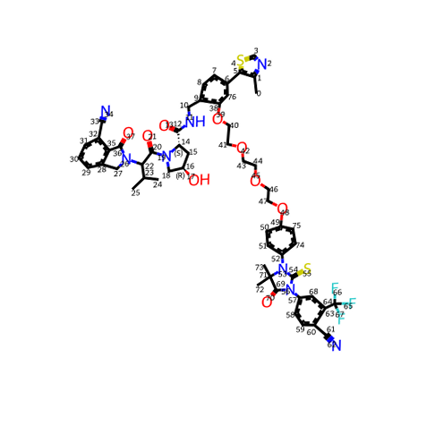 Cc1ncsc1-c1ccc(CNC(=O)[C@@H]2C[C@@H](O)CN2C(=O)C(C(C)C)N2Cc3cccc(C#N)c3C2=O)c(OCCOCCOCCOc2ccc(N3C(=S)N(c4ccc(C#N)c(C(F)(F)F)c4)C(=O)C3(C)C)cc2)c1